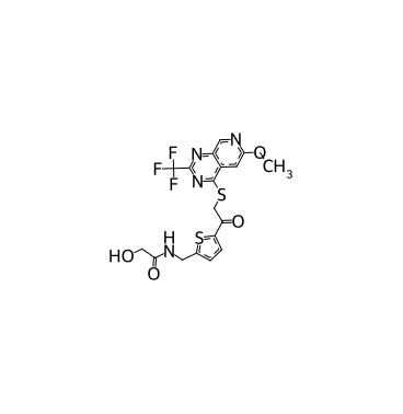 COc1cc2c(SCC(=O)c3ccc(CNC(=O)CO)s3)nc(C(F)(F)F)nc2cn1